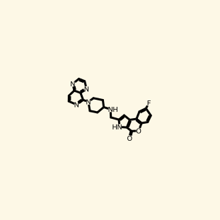 O=c1oc2ccc(F)cc2c2cc(CNC3CCN(c4nccc5nccnc45)CC3)[nH]c12